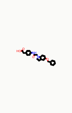 O=C(O)Cc1ccc(NC(=O)Cn2ccc3cc(OCc4ccccc4)ccc32)cc1